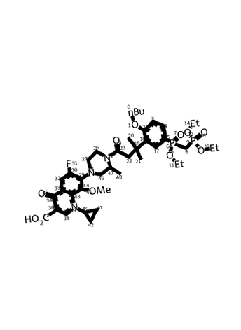 CCCCOc1ccc(P(=O)(CP(=O)(OCC)OCC)OCC)cc1C(C)(C)CC(=O)N1CCN(c2c(F)cc3c(=O)c(C(=O)O)cn(C4CC4)c3c2OC)CC1C